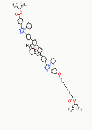 C=CC(C=C)OC(=O)CCCCCCCCCCOc1ccc(-c2nnc(-c3ccc(-c4ccc5c(c4)C4(c6cc(-c7ccc(-c8nnc(-c9ccc(C(=O)OC(C=C)C=C)cc9)n8-c8ccccc8)cc7)ccc6-5)C5(C)CCCC4(C)CCC5)cc3)n2-c2ccccc2)cc1